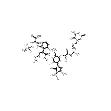 C=CCN(CC=C)C(=O)C(Cl)Cl.CCOC(=O)C(Cl)Cc1cc(-n2nc(C)n(C(F)F)c2=O)c(F)cc1Cl.CCOCN(C(=O)CCl)c1c(C)cccc1CC.CP(=O)(O)CCC(N)C(=O)O